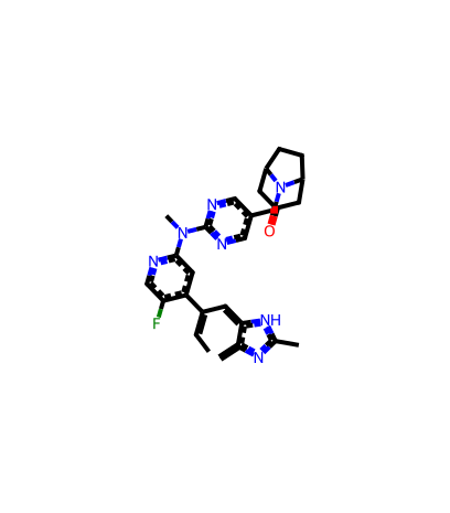 C=c1nc(C)[nH]/c1=C/C(=C\C)c1cc(N(C)c2ncc(CN3C4CCC3CC(=O)C4)cn2)ncc1F